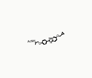 CC(=O)N[C@@H](C)COc1ccc(-c2nc3ccc(OCC4CC4)cn3n2)cc1